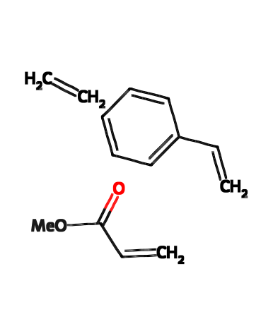 C=C.C=CC(=O)OC.C=Cc1ccccc1